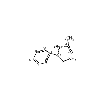 CCN(NC(C)=O)c1ccccc1